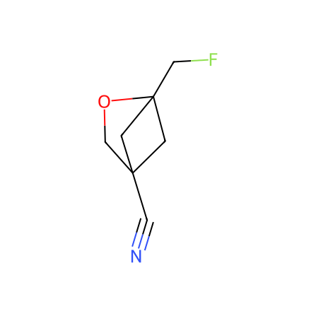 N#CC12COC(CF)(C1)C2